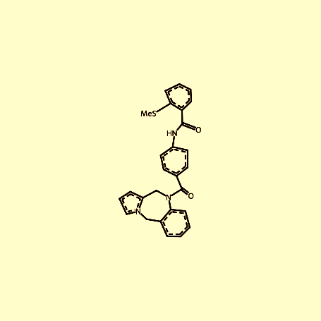 CSc1ccccc1C(=O)Nc1ccc(C(=O)N2Cc3cccn3Cc3ccccc32)cc1